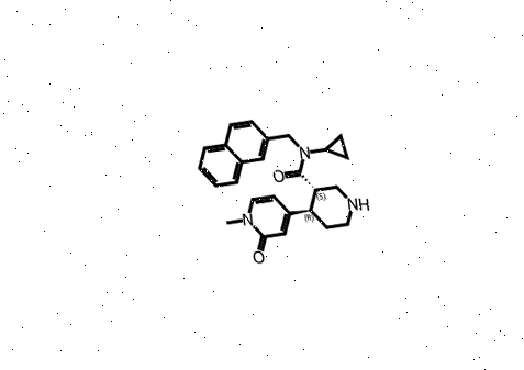 Cn1ccc([C@@H]2CCNC[C@H]2C(=O)N(Cc2ccc3ccccc3c2)C2CC2)cc1=O